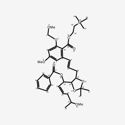 COCOc1cc(OC)cc(/C=C/CC2OC(C)(C)OC2C(/C=C\CC(C)OC)OC(=O)c2ccccc2)c1C(=O)OCC[Si](C)(C)C